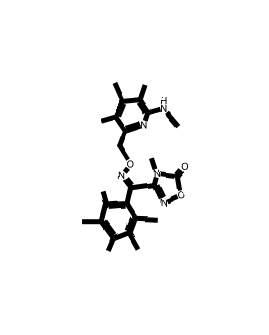 CNc1nc(CON=C(c2c(C)c(C)c(C)c(C)c2C)c2noc(=O)n2C)c(C)c(C)c1C